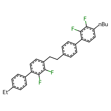 CCCCc1ccc(-c2ccc(CCc3ccc(-c4ccc(CC)cc4)c(F)c3F)cc2)c(F)c1F